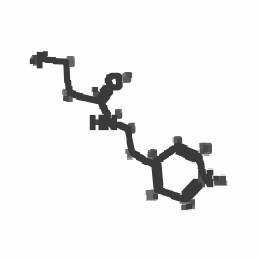 O=C(CCF)NCCc1ccncc1